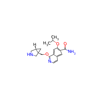 CC(C)Oc1cc2c(OC[C@@]34CNC[C@@H]3C4)nccc2cc1C(N)=O